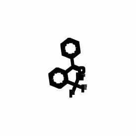 O=C(c1ccccc1)c1ccccc1C(F)(F)Br